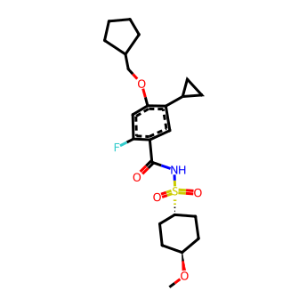 CO[C@H]1CC[C@H](S(=O)(=O)NC(=O)c2cc(C3CC3)c(OCC3CCCC3)cc2F)CC1